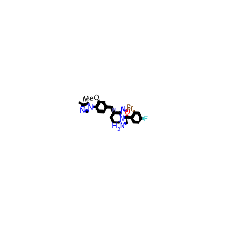 COc1cc(/C=C2\CCCN3C2=NO[C@]3(CN)c2ccc(F)cc2Br)ccc1-n1cnc(C)c1